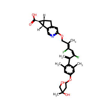 C=C(/C(F)=C\C(F)=C(/C)COc1cc2c(cn1)[C@H]1[C@@H](C2)[C@@H]1C(=O)O)c1c(C)cc(OCCC(C)(O)CO)cc1C